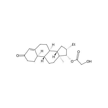 CC[C@H]1C[C@H]2[C@@H]3CCC4=CC(=O)CC[C@@H]4[C@H]3CC[C@]2(C)[C@H]1OC(=O)CO